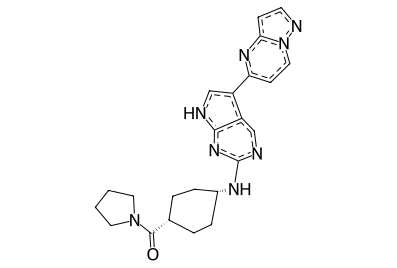 O=C([C@H]1CC[C@@H](Nc2ncc3c(-c4ccn5nccc5n4)c[nH]c3n2)CC1)N1CCCC1